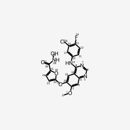 COc1cc2ncnc(Nc3ccc(F)c(Cl)c3)c2cc1Oc1ccc(C(=O)NO)o1